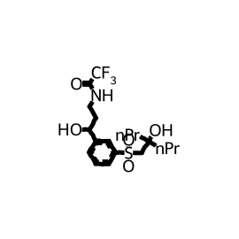 CCCC(O)(CCC)CS(=O)(=O)c1cccc(C(O)CCNC(=O)C(F)(F)F)c1